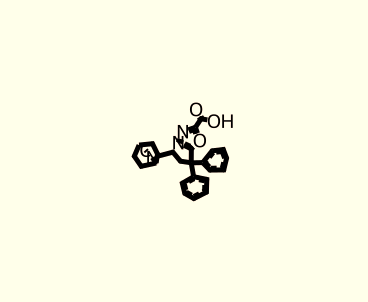 O=C(O)c1nnc(C(CCN2CC3CCC2CC3)(c2ccccc2)c2ccccc2)o1